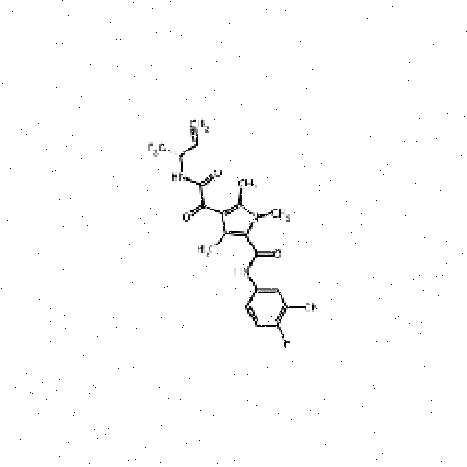 C=C[C@H](NC(=O)C(=O)c1c(C)c(C(=O)Nc2ccc(F)c(C#N)c2)n(C)c1C)C(F)(F)F